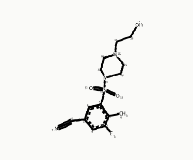 Cc1c(F)cc(C#N)cc1S(=O)(=O)N1CCN(CCO)CC1